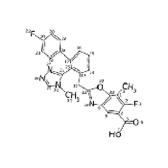 Cc1c(F)c(C(=O)O)cc2nc(Cc3cccc(-c4ccc(F)cc4)c3-c3nncn3C)oc12